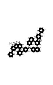 CC1(C)c2ccc(-c3ccccc3)cc2-c2c(-c3ccccc3-c3ccc(N(c4ccc5ccccc5c4)c4ccc5cccc(-c6cccc7sc8cc(-c9ccccc9)ccc8c67)c5c4)cc3)cccc21